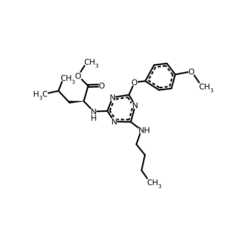 CCCCNc1nc(N[C@@H](CC(C)C)C(=O)OC)nc(Oc2ccc(OC)cc2)n1